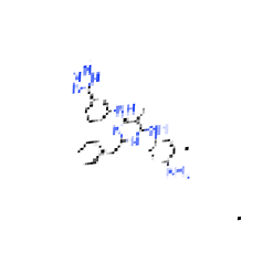 C/C=C\C(=C/C)Cc1nc(NC2=CC(c3nnn(C)n3)=CCC2)c(C)c(NC2CCC(N)CC2)n1